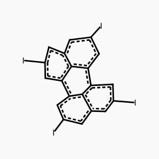 Ic1cc2cc(I)cc3c4cc(I)cc5cc(I)cc(c(c1)c23)c54